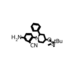 CC(C)(C)[Si](C)(C)OC1CCN(c2ccc(N)cc2C#N)C(c2ccccc2)C1